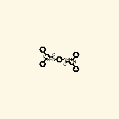 O=C(Nc1ccc(NC(=O)c2cc(-c3ccccc3)nc(-c3ccccc3)n2)cc1)c1cc(-c2ccccc2)nc(-c2ccccc2)n1